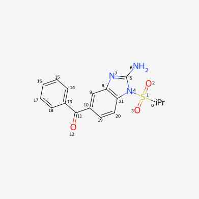 CC(C)S(=O)(=O)n1c(N)nc2cc(C(=O)c3ccccc3)ccc21